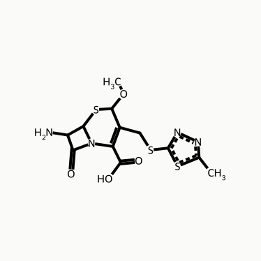 COC1SC2C(N)C(=O)N2C(C(=O)O)=C1CSc1nnc(C)s1